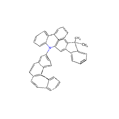 CC1(C)c2ccccc2-c2cc(N(c3ccc4c(ccc5ccc6ccccc6c54)c3)c3ccccc3-c3ccccc3)ccc21